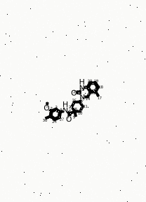 COc1cc(NC(=O)C2(C)CCC(N3Cc4c(C)cccc4NC3=O)CC2)ccc1C